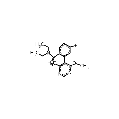 CCN(CC)C(=O)c1ccc(F)cc1-c1c(C)ncnc1OC